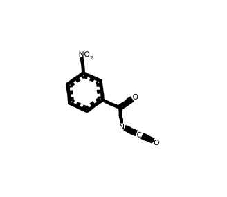 O=C=NC(=O)c1cccc([N+](=O)[O-])c1